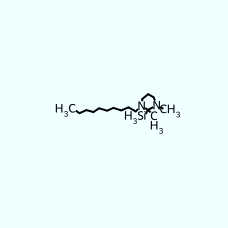 CCCCCCCCCCN1CCCN(C)C1(C)[SiH3]